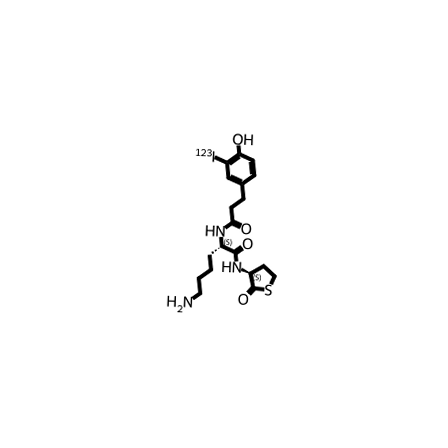 NCCCC[C@H](NC(=O)CCc1ccc(O)c([123I])c1)C(=O)N[C@H]1CCSC1=O